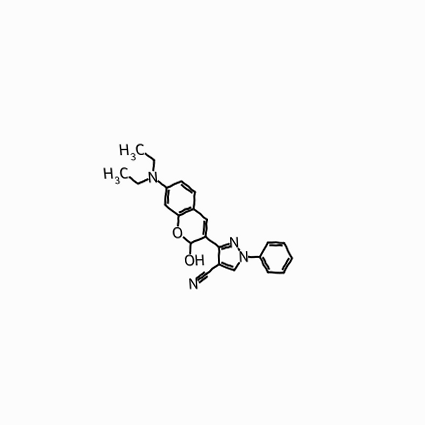 CCN(CC)c1ccc2c(c1)OC(O)C(c1nn(-c3ccccc3)cc1C#N)=C2